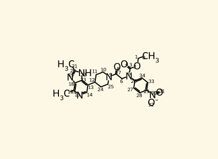 CCOC(=O)N(CC(=O)N1CCC(c2cnc(C)c3nc(C)[nH]c23)CC1)c1ccc([N+](=O)[O-])cc1